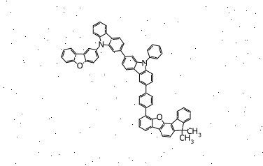 CC1(C)c2ccccc2-c2c1ccc1c2oc2c(-c3ccc(-c4ccc5c(c4)c4ccc(-c6ccc7c8ccccc8n(-c8ccc9oc%10ccccc%10c9c8)c7c6)cc4n5-c4ccccc4)cc3)cccc21